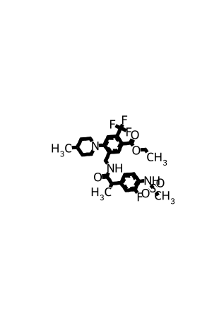 CCOC(=O)c1cc(CNC(=O)C(C)c2ccc(NS(C)(=O)=O)c(F)c2)c(N2CCC(C)CC2)cc1C(F)(F)F